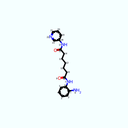 Nc1ccccc1NC(=O)CCCCCC(=O)Nc1cccnc1